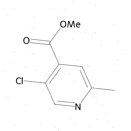 COC(=O)c1cc(C)ncc1Cl